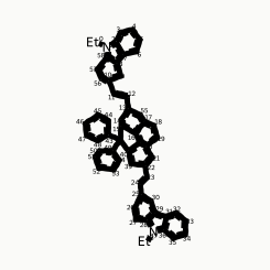 CCn1c2ccccc2c2cc(/C=C/c3cc4c5c(ccc6cc(/C=C/c7ccc8c(c7)c7ccccc7n8CC)cc(c65)C4(c4ccccc4)c4ccccc4)c3)ccc21